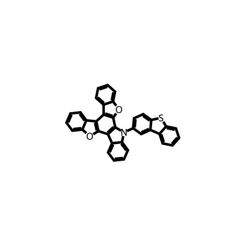 c1ccc2c(c1)oc1c2c2c3ccccc3oc2c2c1c1ccccc1n2-c1ccc2sc3ccccc3c2c1